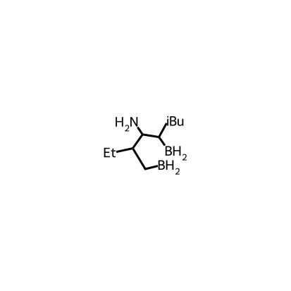 BCC(CC)C(N)C(B)C(C)CC